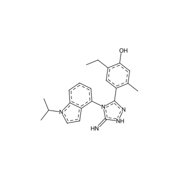 CCc1cc(-c2n[nH]c(=N)n2-c2cccc3c2ccn3C(C)C)c(C)cc1O